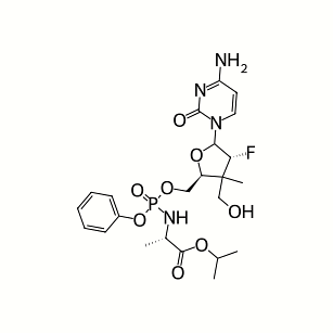 CC(C)OC(=O)[C@H](C)NP(=O)(OC[C@H]1OC(n2ccc(N)nc2=O)[C@H](F)C1(C)CO)Oc1ccccc1